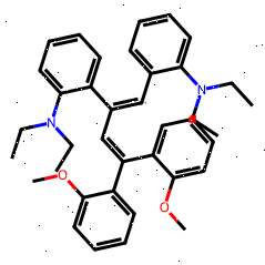 CCN(CC)c1ccccc1[C]=C(C=C(c1ccccc1OC)c1ccccc1OC)c1ccccc1N(CC)CC